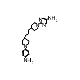 Nc1ccc(N2CCC(CCCC3CCN(c4ncc(N)cn4)CC3)CC2)cc1